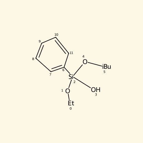 CCO[Si](O)(OC(C)CC)c1ccccc1